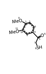 COc1ccc(C(=O)CS)cc1OC